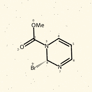 COC(=O)N1C=CC=N[C@@H]1Br